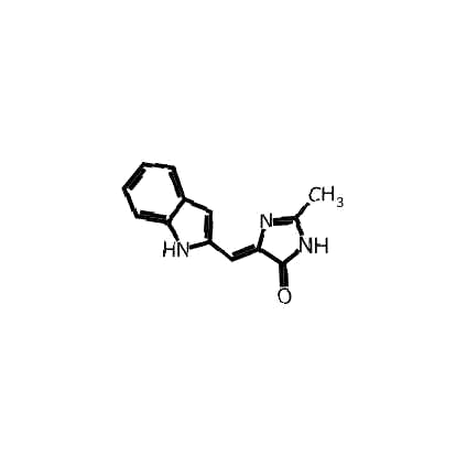 CC1=N/C(=C\c2cc3ccccc3[nH]2)C(=O)N1